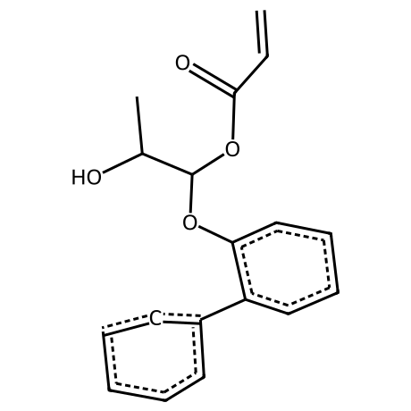 C=CC(=O)OC(Oc1ccccc1-c1ccccc1)C(C)O